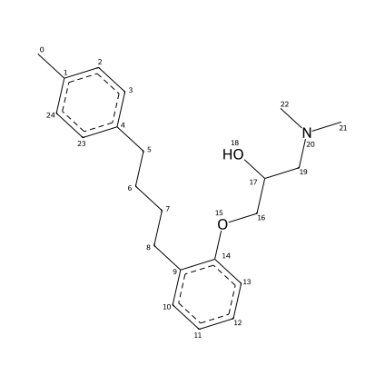 Cc1ccc(CCCCc2ccccc2OCC(O)CN(C)C)cc1